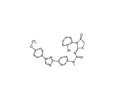 CC(C)c1ccccc1N1C(=O)CS/C1=N\C(=O)N(C)c1ccc(-c2ncn(-c3ccc(OC(F)(F)F)cc3)n2)cc1